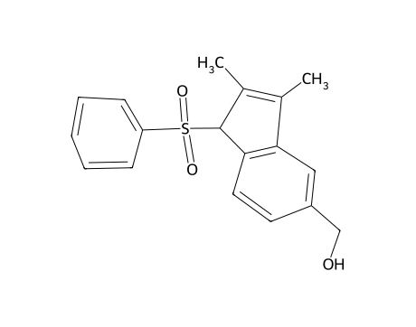 CC1=C(C)C(S(=O)(=O)c2ccccc2)c2ccc(CO)cc21